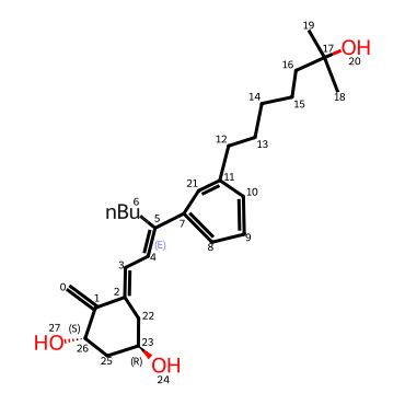 C=C1C(=C/C=C(\CCCC)c2cccc(CCCCCC(C)(C)O)c2)C[C@@H](O)C[C@@H]1O